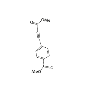 COC(=O)C#Cc1ccc(C(=O)OC)cc1